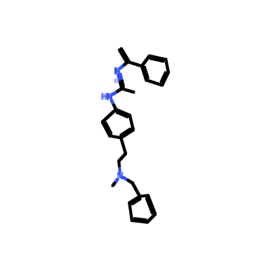 C=C(/N=C(\C)Nc1ccc(CCN(C)Cc2ccccc2)cc1)c1ccccc1